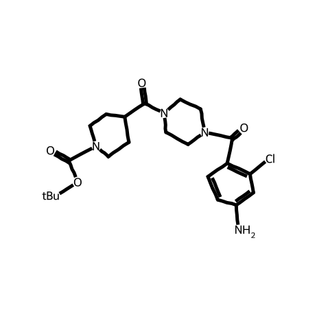 CC(C)(C)OC(=O)N1CCC(C(=O)N2CCN(C(=O)c3ccc(N)cc3Cl)CC2)CC1